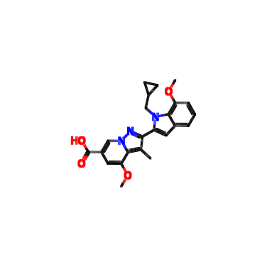 COc1cccc2cc(-c3nn4cc(C(=O)O)cc(OC)c4c3C)n(CC3CC3)c12